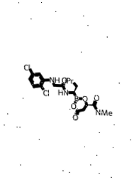 CNC(=O)[C@H]1CC(=O)OB([C@H](CC(C)C)NC(=O)CNc2cc(Cl)ccc2Cl)O1